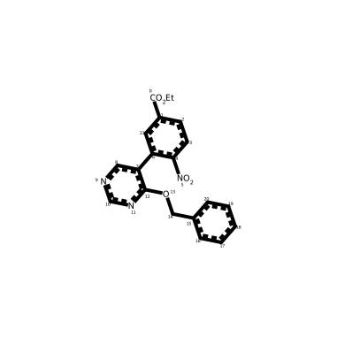 CCOC(=O)c1ccc([N+](=O)[O-])c(-c2cncnc2OCc2ccccc2)c1